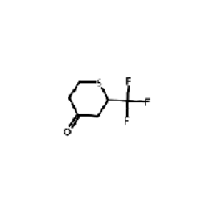 O=C1CCSC(C(F)(F)F)C1